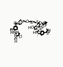 CNc1nc(Nc2ccc(C(=O)N3CCN(CCOCCOCCSC(C)(C)[C@H](NC(=O)C4(F)CC4)C(=O)N4C[C@H](O)C[C@H]4C(=O)N[C@@H](C)c4ccc(-c5scnc5C)cc4)CC3)cc2OC)ncc1Cl